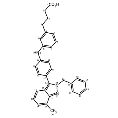 O=C(O)CCCc1cccc(Nc2ccc(-c3c4cccc(C(F)(F)F)c4nn3Cc3ccccc3)cc2)c1